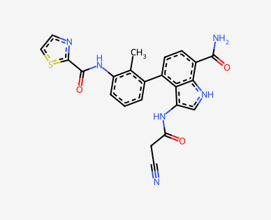 Cc1c(NC(=O)c2nccs2)cccc1-c1ccc(C(N)=O)c2[nH]cc(NC(=O)CC#N)c12